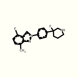 Cc1ccc(F)c2cn(-c3ccc(C4(F)CCCNC4)cc3)nc12